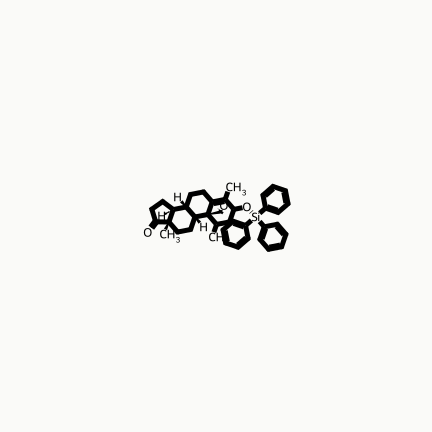 CC1=C2CC[C@@H]3[C@@H](CC[C@]4(C)C(=O)CC[C@@H]34)[C@@]2(C=O)C(C)CC1O[Si](c1ccccc1)(c1ccccc1)c1ccccc1